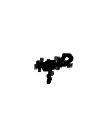 CCCOc1cc(C(F)(F)F)ccc1OC1C[C@H]2CCC[C@@H](C1)N2Oc1ccc(C(F)(F)F)cn1